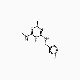 CNC1=NC(C)N=C(NCc2cc[nH]c2)N1